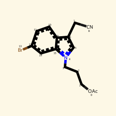 CC(=O)OCCCn1cc(CC#N)c2ccc(Br)cc21